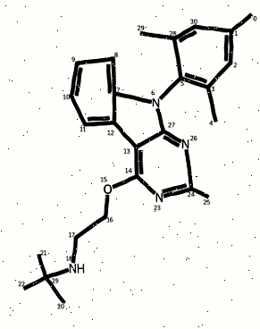 Cc1cc(C)c(-n2c3ccccc3c3c(OCCNC(C)(C)C)nc(C)nc32)c(C)c1